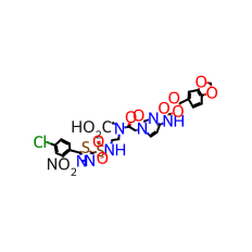 O=C(O)CN(CCNS(=O)(=O)c1nnc(-c2ccc(Cl)cc2[N+](=O)[O-])s1)C(=O)Cn1ccc(NC(=O)OC(=O)c2ccc3c(c2)OCO3)nc1=O